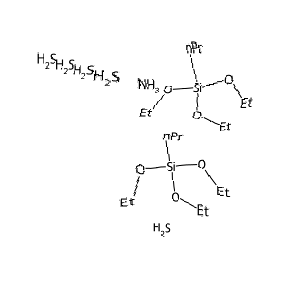 CCC[Si](OCC)(OCC)OCC.CCC[Si](OCC)(OCC)OCC.N.S.S.S.S.S